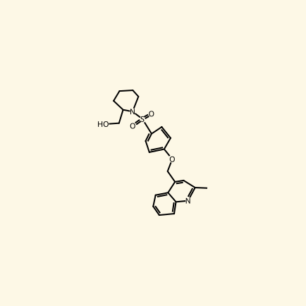 Cc1cc(COc2ccc(S(=O)(=O)N3CCCCC3CO)cc2)c2ccccc2n1